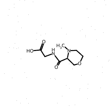 CN1CCOCC1C(=O)NCC(=O)O